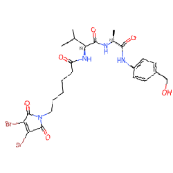 CC(C)[C@H](NC(=O)CCCCCN1C(=O)C(Br)=C(Br)C1=O)C(=O)N[C@@H](C)C(=O)Nc1ccc(CO)cc1